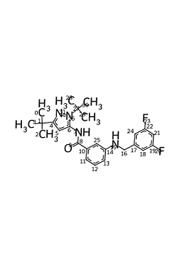 CC(C)(C)c1cc(NC(=O)c2cccc(NCc3cc(F)cc(F)c3)c2)n(C(C)(C)C)n1